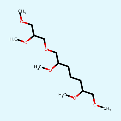 COCC(CCCC(COCC(COC)OC)OC)OC